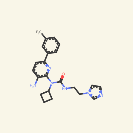 Nc1ccc(-c2cccc(C(F)(F)F)c2)nc1N(C(=O)NCCn1ccnc1)C1CCC1